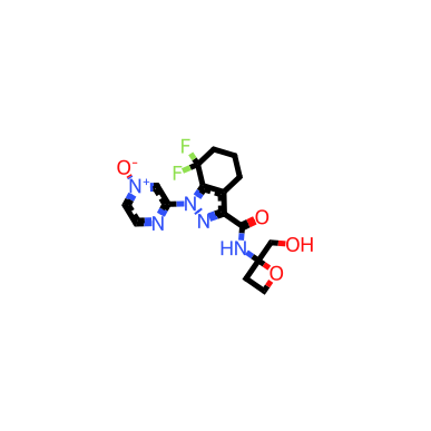 O=C(NC1(CO)CCO1)c1nn(-c2c[n+]([O-])ccn2)c2c1CCCC2(F)F